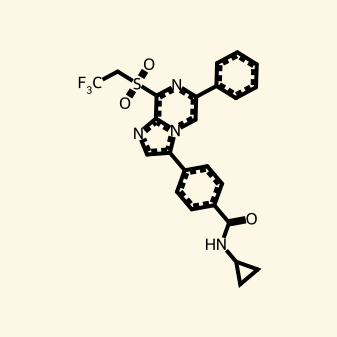 O=C(NC1CC1)c1ccc(-c2cnc3c(S(=O)(=O)CC(F)(F)F)nc(-c4ccccc4)cn23)cc1